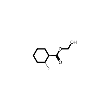 C[C@@H]1CCCC[C@H]1C(=O)OCO